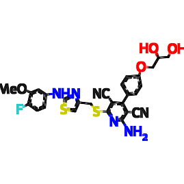 COc1cc(Nc2nc(CSc3nc(N)c(C#N)c(-c4ccc(OC[C@@H](O)CO)cc4)c3C#N)cs2)ccc1F